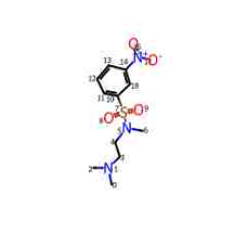 CN(C)CCN(C)S(=O)(=O)c1cccc([N+](=O)[O-])c1